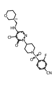 N#Cc1ccc(S(=O)(=O)N2CCC(n3ncc(NC[C@@H]4CCCOC4)c(Cl)c3=O)CC2)c(F)c1